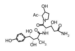 CC(=O)[C@@H]1C(O)CCN1C(=O)[C@@H](NC(=O)[C@@H](C)[C@H](O)[C@@H](O)c1ccc(O)cc1)[C@H](O)CC(N)=O